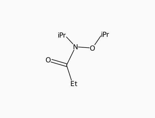 CCC(=O)N(OC(C)C)C(C)C